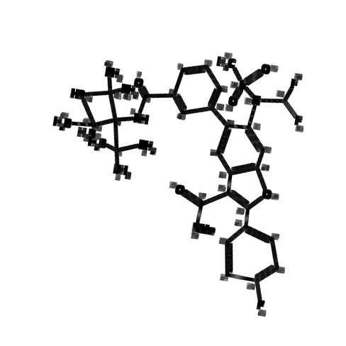 BC(B)(B)C1(NC(=O)c2cccc(-c3cc4c(C(=O)NC)c(-c5ccc(F)cc5)oc4cc3N(C(F)F)S(C)(=O)=O)c2)C(B)(B)BC1(B)B